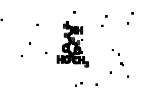 CC1(O)OCC(CNI)O1